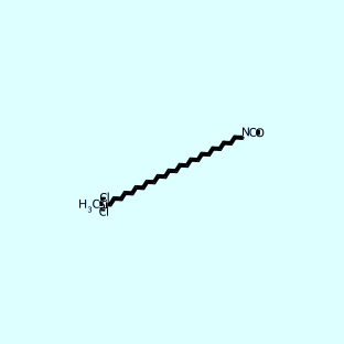 C[Si](Cl)(Cl)CCCCCCCCCCCCCCCCCCCCCCCCCN=C=O